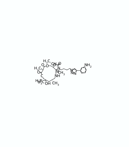 B[C@@H]1CC(=O)[C@@H](C)C(=O)O[C@H](CC)[C@@]2(C)OC(=O)N(CCCCn3cc(-c4cccc(N)c4)nn3)[C@@H]2[C@@H](C)NC[C@H](C)C[C@]1(C)O